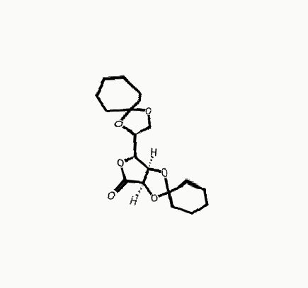 O=C1O[C@@H]([C@@H]2COC3(CCCCC3)O2)[C@H]2OC3(CCCCC3)O[C@@H]12